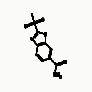 CS(=O)(=O)c1nc2ccc(C(N)=O)cc2s1